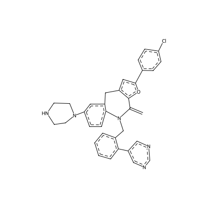 C=C1c2oc(-c3ccc(Cl)cc3)cc2Cc2cc(N3CCNCC3)ccc2N1Cc1ccccc1-c1cncnc1